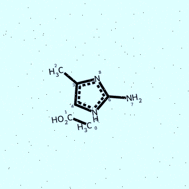 CC(=O)O.Cc1c[nH]c(N)n1